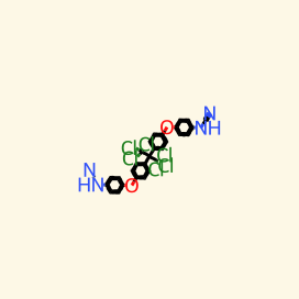 N#CNc1ccc(Oc2ccc(C(c3ccc(Oc4ccc(NC#N)cc4)cc3)(C(Cl)(Cl)Cl)C(Cl)(Cl)Cl)cc2)cc1